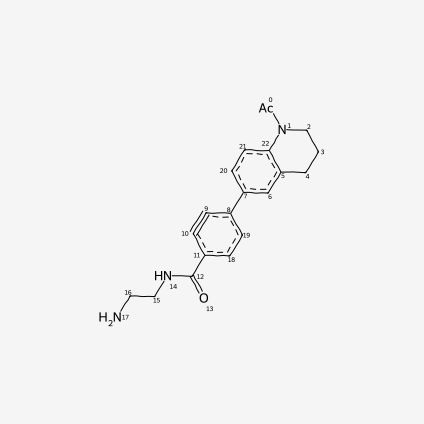 CC(=O)N1CCCc2cc(-c3c#cc(C(=O)NCCN)cc3)ccc21